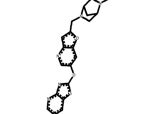 CC(=O)N1CC2CC1CN2Cc1cc2ncc(Oc3nc4ncccc4s3)cc2o1